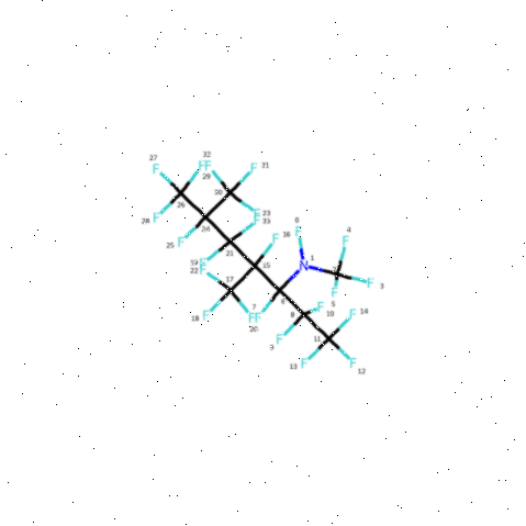 FN(C(F)(F)F)C(F)(C(F)(F)C(F)(F)F)C(F)(C(F)(F)F)C(F)(F)C(F)(C(F)(F)F)C(F)(F)F